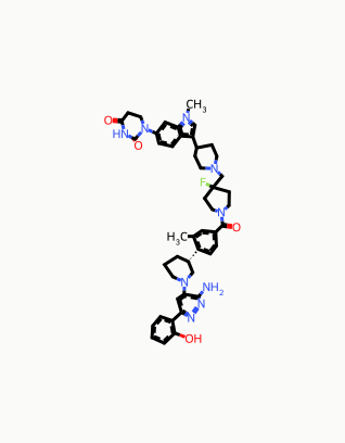 Cc1cc(C(=O)N2CCC(F)(CN3CCC(c4cn(C)c5cc(N6CCC(=O)NC6=O)ccc45)CC3)CC2)ccc1[C@H]1CCCN(c2cc(-c3ccccc3O)nnc2N)C1